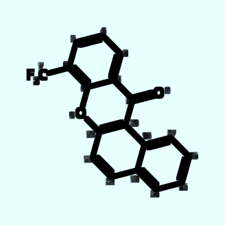 O=c1c2cccc(C(F)(F)F)c2oc2ccc3ccccc3c12